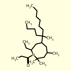 CCCCCCC(C)(CCCC)C1CC(C)CC(C)(C)N(C(=O)CC)C(CC)C1